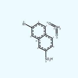 CCc1ccc2ccc(S(=O)(=O)O)cc2c1.O=[SH2]=O